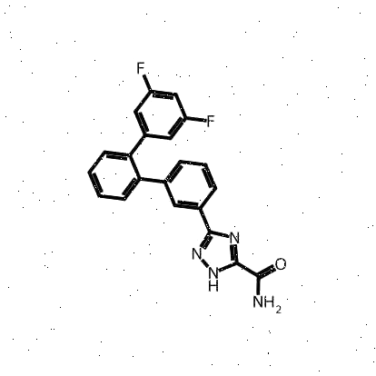 NC(=O)c1nc(-c2cccc(-c3ccccc3-c3cc(F)cc(F)c3)c2)n[nH]1